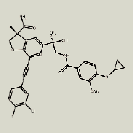 COc1cc(C(=O)NC[C@](O)(c2cc3c(c(C#Cc4ccc(F)c(Cl)c4)n2)OC[C@]3(C)C(N)=O)C(F)(F)F)ccc1OC1CC1